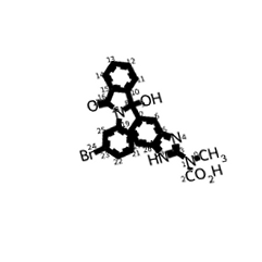 CN(C(=O)O)c1nc2cc(C3(O)c4ccccc4C(=O)N3c3cccc(Br)c3)ccc2[nH]1